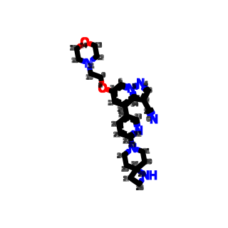 N#Cc1cnn2cc(OCCN3CCOCC3)cc(-c3ccc(N4CCC5(CCN5)CC4)nc3)c12